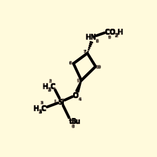 CC(C)(C)[Si](C)(C)O[C@H]1C[C@H](NC(=O)O)C1